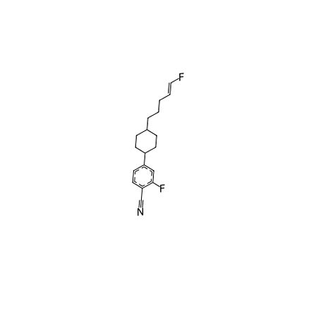 N#Cc1ccc(C2CCC(CCC/C=C/F)CC2)cc1F